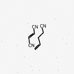 C=CCCC#N.N#CC=CC#N